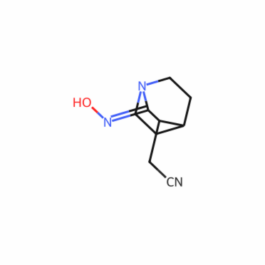 N#CCC1C(=NO)N2CCC1CC2